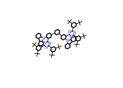 CC(C)(C)c1cc(-c2nc(-c3cc(C(C)(C)C)cc(C(C)(C)C)c3)nc(-c3cc(-c4cccc(-c5ccc(-n6c7ccccc7c7ccccc76)c(-c6nc(-c7cc(C(C)(C)C)cc(C(C)(C)C)c7)nc(-c7cc(C(C)(C)C)cc(C(C)(C)C)c7)n6)c5)c4)ccc3-n3c4ccccc4c4ccccc43)n2)cc(C(C)(C)C)c1